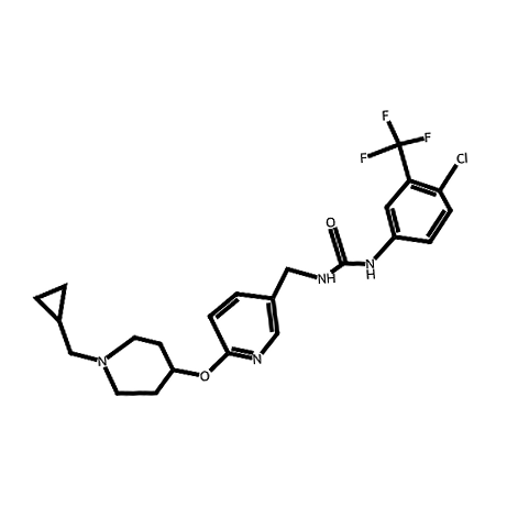 O=C(NCc1ccc(OC2CCN(CC3CC3)CC2)nc1)Nc1ccc(Cl)c(C(F)(F)F)c1